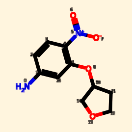 Nc1ccc([N+](=O)[O-])c(OC2CCOC2)c1